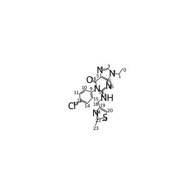 CCn1cnc2c(=O)n(-c3ccc(Cl)cc3)c(NCc3csc(C)n3)nc21